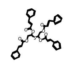 O=C(/C=C/c1ccccc1)OCC(OC(=O)/C=C/c1ccccc1)SC(COC(=O)/C=C/c1ccccc1)OC(=O)/C=C/c1ccccc1